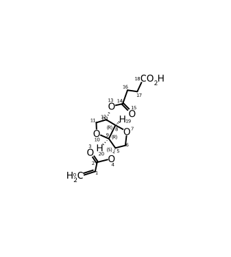 C=CC(=O)O[C@H]1CO[C@H]2[C@@H]1OC[C@@H]2OC(=O)CCC(=O)O